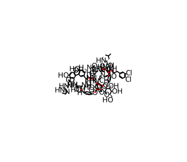 CN[C@H](CC(C)C)C(=O)N[C@H]1C(=O)N[C@@H](CC(N)=O)C(=O)N[C@H]2C(=O)N[C@H]3C(=O)N[C@H](C(=O)N[C@@H](C(=O)NNC4=NCCN4)c4cc(O)cc(O)c4-c4cc3ccc4O)[C@H](O)c3ccc(c(Cl)c3)Oc3cc2cc(c3O[C@@H]2O[C@H](CO)[C@@H](O)[C@H](O)[C@H]2O[C@H]2C[C@](C)(NCCn3ccc(NC(=O)Cc4ccc(Cl)c(Cl)c4)nc3=O)[C@H](O)[C@H](C)O2)Oc2ccc(cc2Cl)[C@H]1O